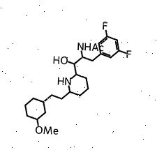 COC1CCCC(CCC2CCCC(C(O)C(Cc3cc(F)cc(F)c3)NC(C)=O)N2)C1